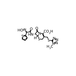 Cn1nnnc1SCC1=C(C(=O)O)N2C(=O)[C@@H](NC(=O)/C(=N/O)c3cccs3)[C@H]2SC1